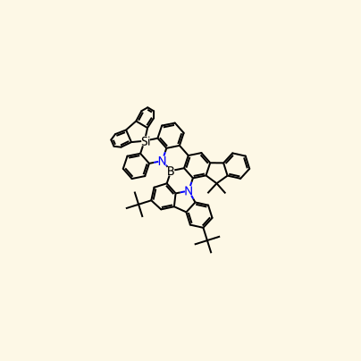 CC(C)(C)c1ccc2c(c1)c1cc(C(C)(C)C)cc3c1n2-c1c2c(cc4c1C(C)(C)c1ccccc1-4)-c1cccc4c1N(B23)c1ccccc1[Si]41c2ccccc2-c2ccccc21